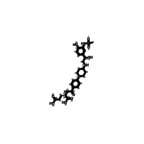 CS(=O)(=O)Nc1cc([C@@H](O)CNC2CCN(c3ccc(C(=O)N[C@@H](CCC(=O)O)C(=O)O)cc3)CC2)ccc1O